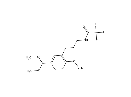 COc1ccc(C(OC)OC)cc1CCCNC(=O)C(F)(F)F